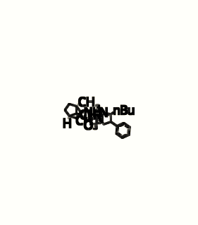 CCCCC1=NN(C(=O)N[C@H]2C[C@H]3CC[C@]2(C)C3(C)C)CC1c1ccccc1